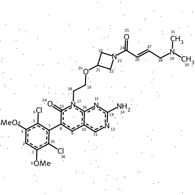 COc1cc(OC)c(Cl)c(-c2cc3cnc(N)nc3n(CCOC3CN(C(=O)C=CCN(C)C)C3)c2=O)c1Cl